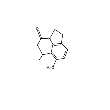 COc1ccc2c3c1C(C)CC(=O)N3CC2